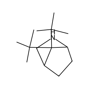 CC(C)(C)C1(C(C)(C)C)C2CCC1NC2